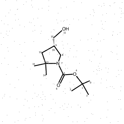 CC(C)(C)OC(=O)N1C[C@@H](CO)CC1(C)C